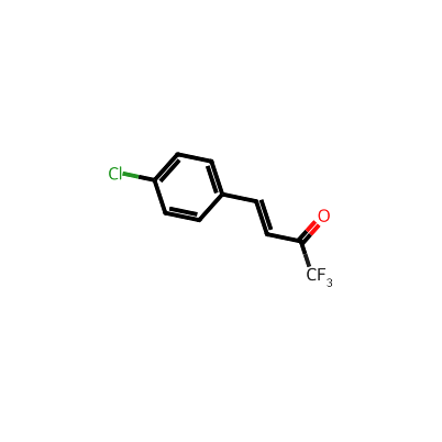 O=C(C=Cc1ccc(Cl)cc1)C(F)(F)F